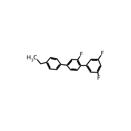 CCc1ccc(-c2ccc(-c3cc(F)cc(F)c3)c(F)c2)cc1